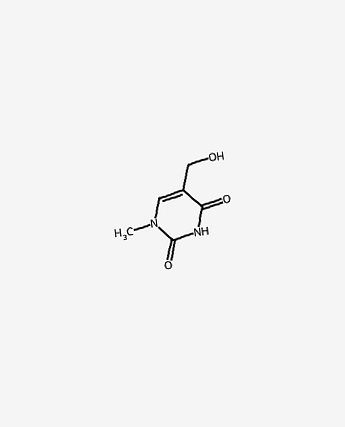 Cn1cc(CO)c(=O)[nH]c1=O